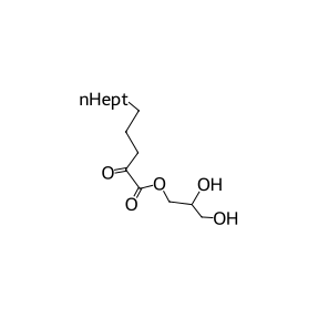 CCCCCCCCCCC(=O)C(=O)OCC(O)CO